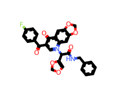 O=C(c1ccc(F)cc1)c1cn(C(C(=O)NCc2ccccc2)C2=COCO2)c2cc3c(cc2c1=O)OCO3